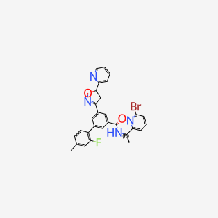 Cc1ccc(-c2cc(C(=O)N[C@H](C)c3cccc(Br)n3)cc(C3=NOC(c4ccccn4)C3)c2)c(F)c1